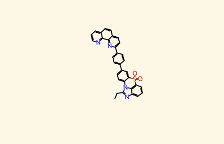 CCc1nc2cccc3c2n1-c1ccc(-c2ccc(-c4ccc5ccc6cccnc6c5n4)cc2)cc1S3(=O)=O